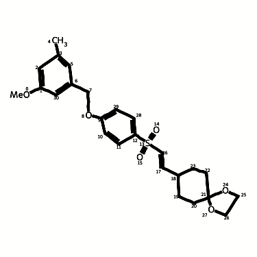 COc1cc(C)cc(COc2ccc(S(=O)(=O)C=CC3CCC4(CC3)OCCO4)cc2)c1